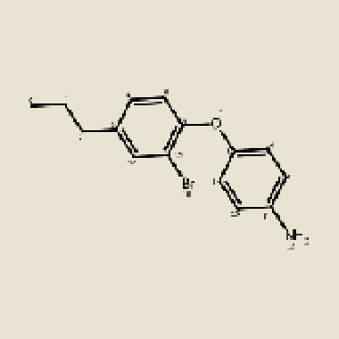 CCCc1ccc(Oc2ccc(N)cc2)c(Br)c1